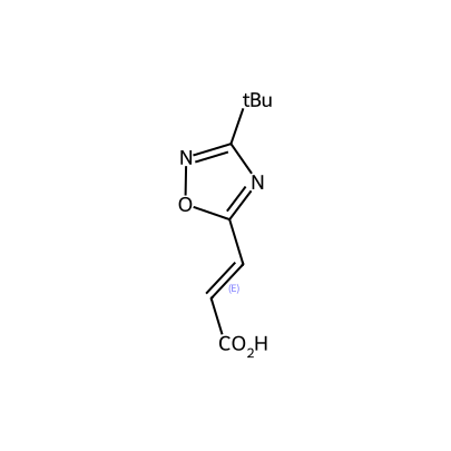 CC(C)(C)c1noc(/C=C/C(=O)O)n1